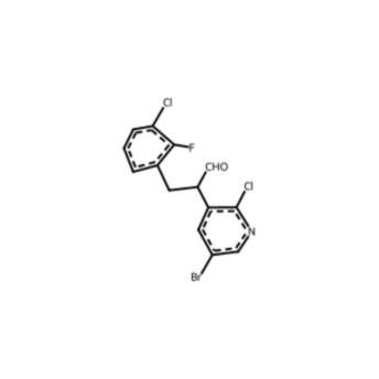 O=CC(Cc1cccc(Cl)c1F)c1cc(Br)cnc1Cl